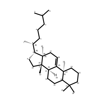 CC(C)CCC[C@@H](C)[C@H]1CC[C@@]2(C)[C@@H]3CCC4C(C)(C)CCC[C@]4(C)C3=CC[C@]12C